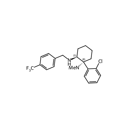 CN[C@@]1(c2ccccc2Cl)CCCC[C@@H]1NCc1ccc(C(F)(F)F)cc1